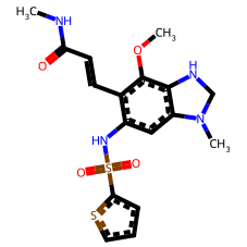 CNC(=O)C=Cc1c(NS(=O)(=O)c2cccs2)cc2c(c1OC)NCN2C